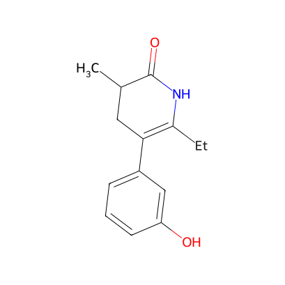 CCC1=C(c2cccc(O)c2)CC(C)C(=O)N1